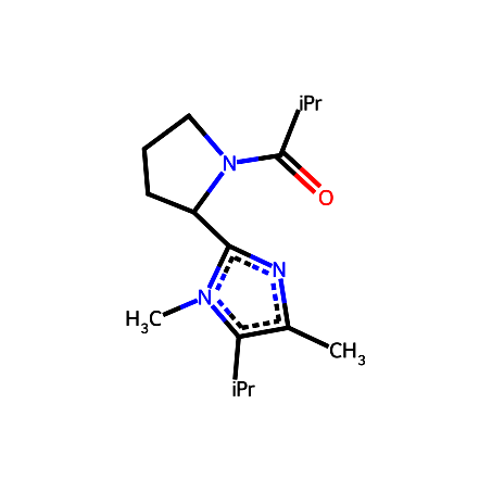 Cc1nc(C2CCCN2C(=O)C(C)C)n(C)c1C(C)C